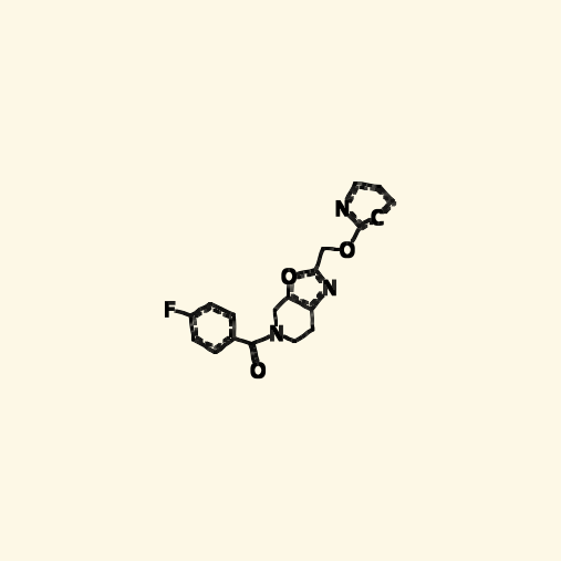 O=C(c1ccc(F)cc1)N1CCc2nc(COc3ccccn3)oc2C1